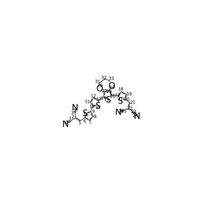 N#CC(C#N)=Cc1ccc(-c2ccc(-c3sc(-c4ccc(C=C(C#N)C#N)s4)c4c3OCCCO4)s2)s1